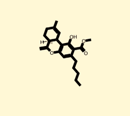 C=C1Oc2cc(CCCCC)c(C(=O)OC)c(O)c2C2C=C(C)CC[C@H]12